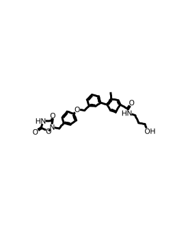 Cc1cc(C(=O)NCCCO)ccc1-c1cccc(COc2ccc(Cn3oc(=O)[nH]c3=O)cc2)c1